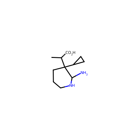 CC(C(=O)O)C1(C2CC2)CCCNC1N